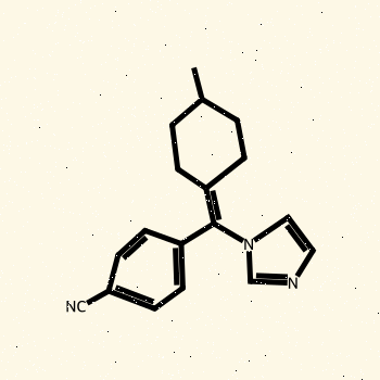 CC1CCC(=C(c2ccc(C#N)cc2)n2ccnc2)CC1